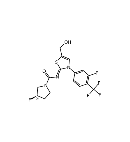 O=C(N=c1sc(CO)cn1-c1ccc(C(F)(F)F)c(F)c1)N1CC[C@@H](F)C1